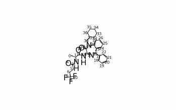 C[C@H](NC(=O)CCC(F)(F)F)C(=O)NC1N=C(c2ccccc2)c2ccccc2N(CC2CCCCC2)C1=O